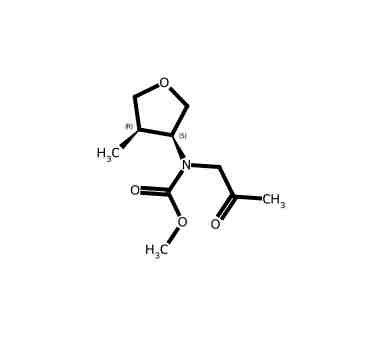 COC(=O)N(CC(C)=O)[C@@H]1COC[C@@H]1C